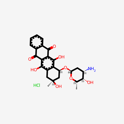 C[C@@H]1O[C@@H](O[C@H]2C[C@@](C)(O)Cc3c(O)c4c(c(O)c32)C(=O)c2ccccc2C4=O)C[C@H](N)[C@@H]1O.Cl